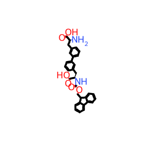 N[C@H](Cc1cccc(-c2cccc(C[C@@H](NC(=O)OCC3c4ccccc4-c4ccccc43)C(=O)O)c2)c1)C(=O)O